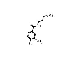 CCc1ccc(C(=S)NCCCSC)cc1N